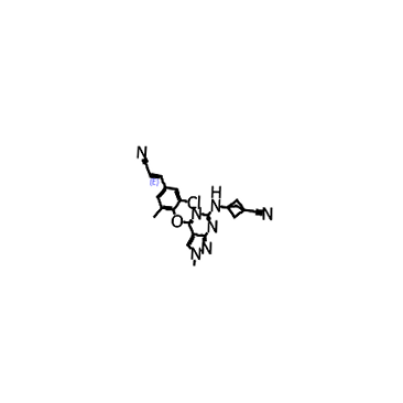 Cc1cc(/C=C/C#N)cc(Cl)c1Oc1nc(NC23CC(C#N)(C2)C3)nc2nn(C)cc12